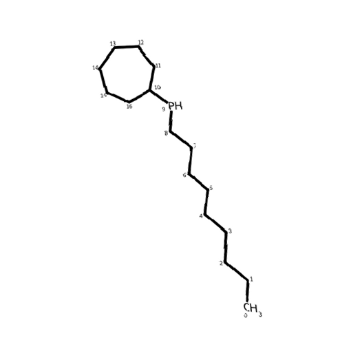 CCCCCCCCCPC1CCCCCC1